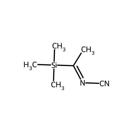 C/C(=N\C#N)[Si](C)(C)C